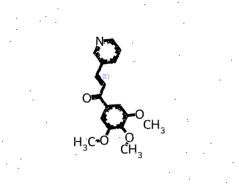 COc1cc(C(=O)/C=C/c2cccnc2)cc(OC)c1OC